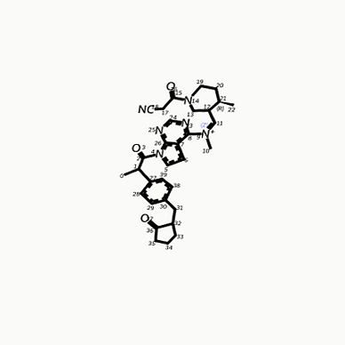 CC(C(=O)n1ccc2c(/[N+](C)=C\C3CN(C(=O)CC#N)CC[C@H]3C)ncnc21)c1ccc(CC2CCCC2=O)cc1